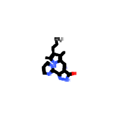 Cc1[nH]c(/C=C2/C(=O)NN=C2c2ncccn2)c(C)c1CCC(=O)O